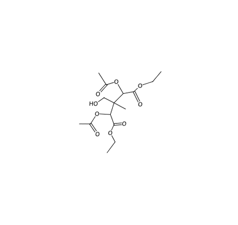 CCOC(=O)C(OC(C)=O)C(C)(CO)C(OC(C)=O)C(=O)OCC